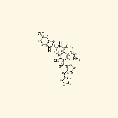 C=C(N[C@@H](C)c1nc2cc(Cl)ccc2[nH]1)c1cc(Cl)c(C(=O)N2CCC[C@H]2CN2CCCC2)cc1/N=C\N